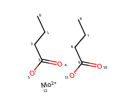 CCCC(=O)[O-].CCCC(=O)[O-].[Mo+2]